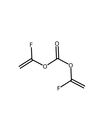 C=C(F)OC(=O)OC(=C)F